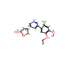 CCOc1cc(-c2cncc([C@@H]3COB(O)C3)c2)c(Cl)cc1OC